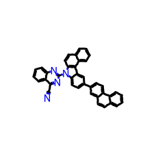 N#Cc1nc(-n2c3ccc(-c4ccc5c(ccc6ccccc65)c4)cc3c3c4ccccc4ccc32)nc2ccccc12